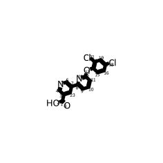 O=C(O)c1cncc(-c2cccc(Oc3ccc(Cl)cc3Cl)n2)c1